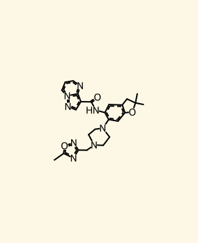 Cc1nc(CN2CCN(c3cc4c(cc3NC(=O)c3cnn5cccnc35)CC(C)(C)O4)CC2)no1